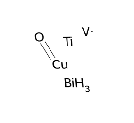 [BiH3].[O]=[Cu].[Ti].[V]